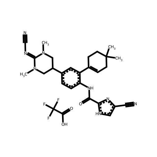 CN1CC(c2ccc(NC(=O)c3nc(C#N)c[nH]3)c(C3=CCC(C)(C)CC3)c2)CN(C)C1=NC#N.O=C(O)C(F)(F)F